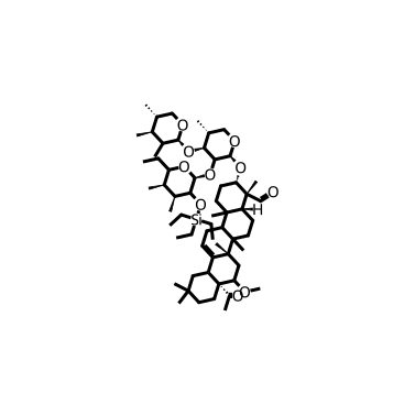 CCC1O[C@@H](OC2[C@H](O[C@H]3CCC4(C)C5CC=C6C7CC(C)(C)CC[C@]7(C(C)=O)C(OC)C[C@@]6(C)C5(C)CC[C@H]4[C@@]3(C)C=O)OC[C@@H](C)[C@@H]2O[C@@H]2OC[C@@H](C)[C@H](C)C2C)C(O[Si](CC)(CC)CC)[C@@H](C)[C@H]1C